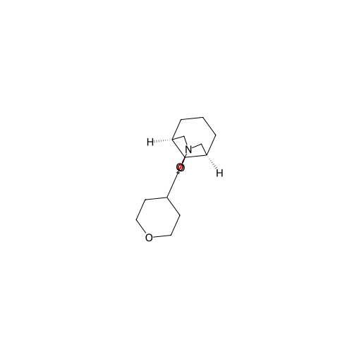 C1C[C@@H]2CN(C3CCOCC3)C[C@H](C1)C21OCCO1